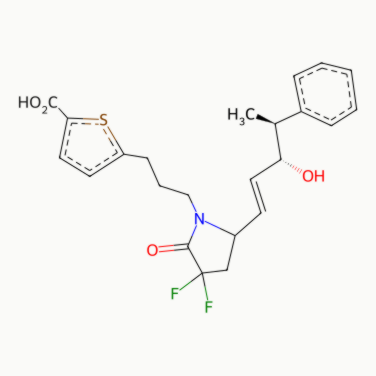 C[C@@H](c1ccccc1)[C@H](O)C=CC1CC(F)(F)C(=O)N1CCCc1ccc(C(=O)O)s1